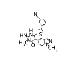 CN1C(=N)N/C(=C2\CC(c3cccc(C#N)c3)=CS2)[C@@H](c2ccc3c(cnn3C)c2)C1=O